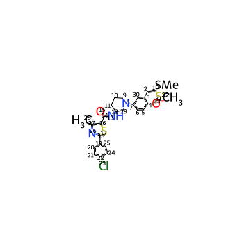 CSC(=Cc1cccc(N2CCCC(NC(=O)c3sc(-c4ccc(Cl)cc4)nc3C)C2)c1)[S+](C)[O-]